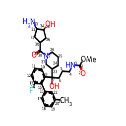 COC(=O)NCCCC(O)(c1cccc(F)c1-c1cccc(C)c1)C1CCCN(C(=O)C2CC(N)C(O)C2)C1